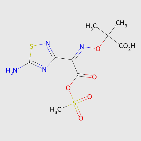 CC(C)(ON=C(C(=O)OS(C)(=O)=O)c1nsc(N)n1)C(=O)O